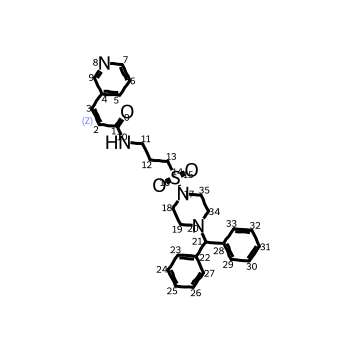 O=C(/C=C\c1cccnc1)NCCCS(=O)(=O)N1CCN(C(c2ccccc2)c2ccccc2)CC1